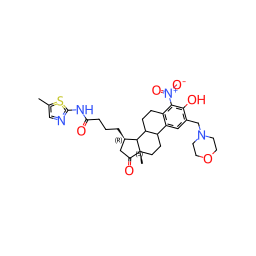 Cc1cnc(NC(=O)CCC[C@@H]2CC(=O)[C@@]3(C)CCC4c5cc(CN6CCOCC6)c(O)c([N+](=O)[O-])c5CCC4C23)s1